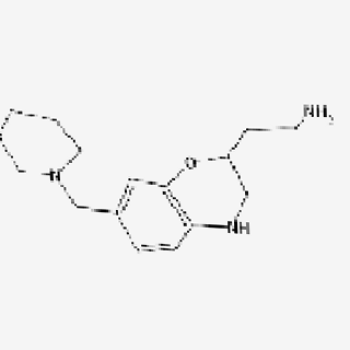 NCCC1CNc2ccc(CN3CCCCC3)cc2O1